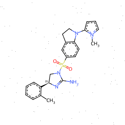 Cc1ccccc1[C@H]1CN(S(=O)(=O)c2ccc3c(c2)CCN3c2cccn2C)C(N)=N1